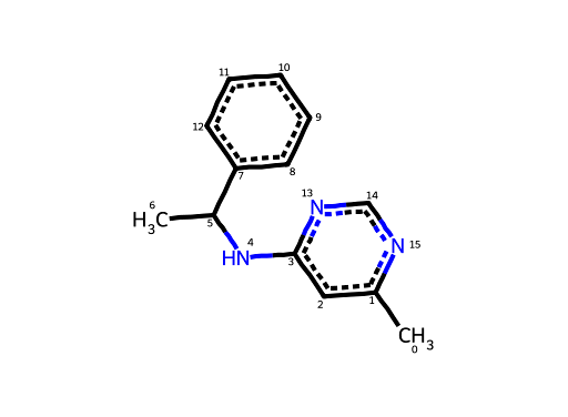 Cc1cc(NC(C)c2ccccc2)ncn1